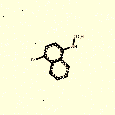 O=C(O)Nc1ccc(Br)c2ccccc12